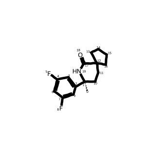 C[C@@]1(c2cc(F)cc(F)c2)CCC2(CCCC2)C(=O)N1